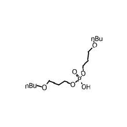 CCCCOCCCOP(=O)(O)OCCCOCCCC